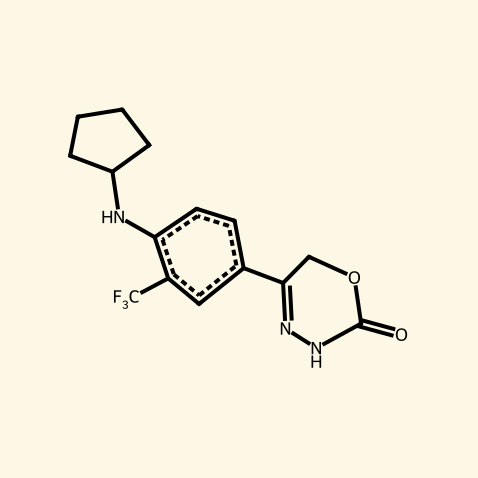 O=C1NN=C(c2ccc(NC3CCCC3)c(C(F)(F)F)c2)CO1